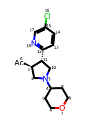 CC(=O)[C@@H]1CN(C2CCOCC2)C[C@H]1c1ccc(Cl)cn1